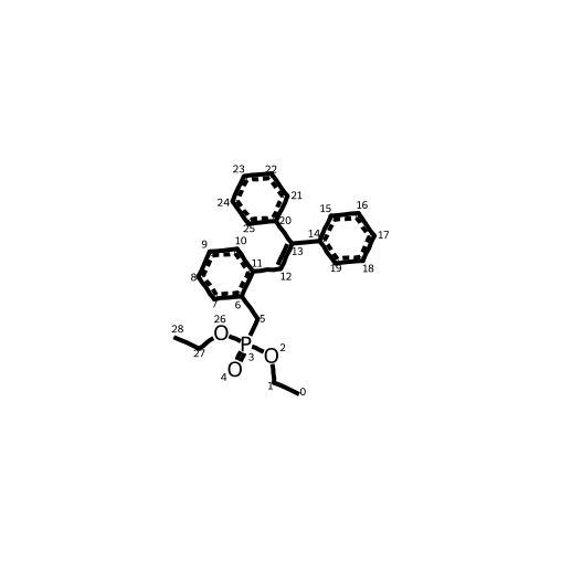 CCOP(=O)(Cc1ccccc1C=C(c1ccccc1)c1ccccc1)OCC